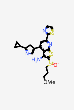 COCCC[S+]([O-])c1sc2nc(-c3nccs3)cc(C3=CN=C(C4CC4)C3)c2c1N